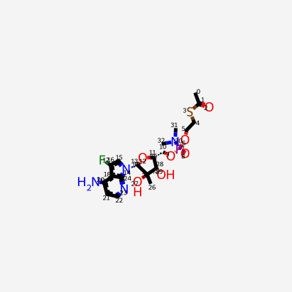 CC(=O)SCCOP(=O)(OC[C@H]1O[C@@H](n2cc(F)c3c(N)ccnc32)C(C)(O)[C@H]1O)N(C)C